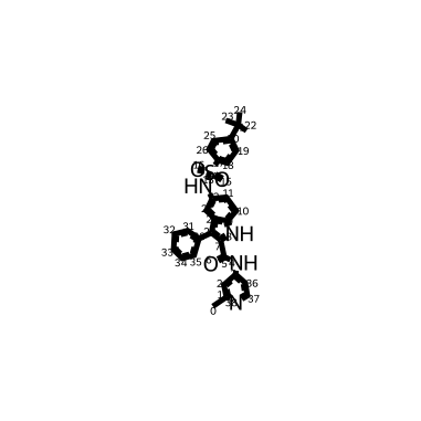 Cc1cc(NC(=O)c2[nH]c3ccc(NS(=O)(=O)c4ccc(C(C)(C)C)cc4)cc3c2-c2ccccc2)ccn1